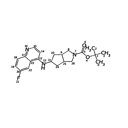 CC(C)(C)OC(=O)N1CC2CC(Nc3ccnc4ccc(F)cc34)CC2C1